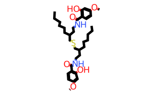 CCCCCCC(CCNC(=O)c1ccc(OC)cc1O)CSCC(CCCCCC)CCNC(=O)c1ccc(OC)cc1O